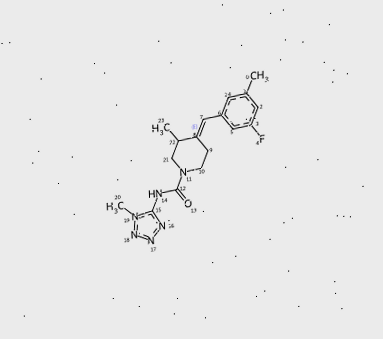 Cc1cc(F)cc(/C=C2\CCN(C(=O)Nc3nnnn3C)CC2C)c1